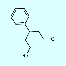 [O]CCC(CCCl)c1ccccc1